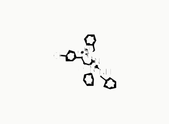 O=C1c2c(nc(NCc3ccccc3)n2-c2ccccc2)N(Cc2ccccc2)S(=O)(=O)C1c1ccc(Cl)cc1